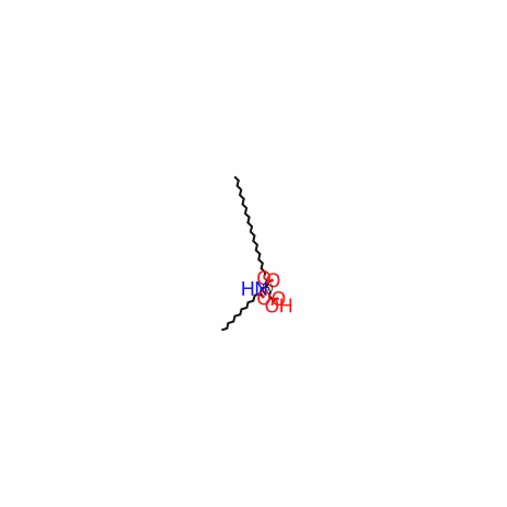 CCCCCCCCCCCCCCCCCCCCCCOC(=O)[C@H](CCC(=O)O)NC(=O)CCCCCCCCCCC